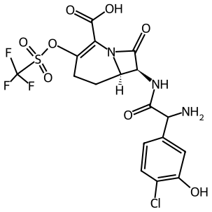 NC(C(=O)N[C@@H]1C(=O)N2C(C(=O)O)=C(OS(=O)(=O)C(F)(F)F)CC[C@H]12)c1ccc(Cl)c(O)c1